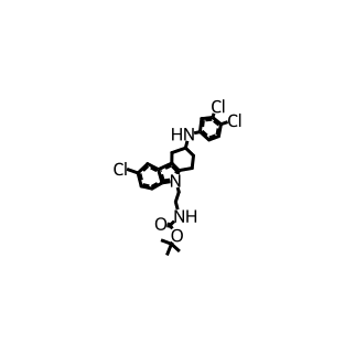 CC(C)(C)OC(=O)NCCn1c2c(c3cc(Cl)ccc31)CC(Nc1ccc(Cl)c(Cl)c1)CC2